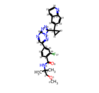 COCC(C)(C)NC(=O)c1ccc(-c2cnc3nnc(C4(c5ccc6ncccc6c5)CC4)n3n2)cc1F